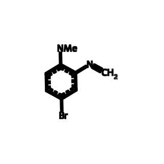 C=Nc1cc(Br)ccc1NC